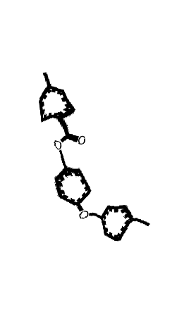 Cc1ccc(Oc2ccc(OC(=O)c3ccc(C)cc3)cc2)cc1